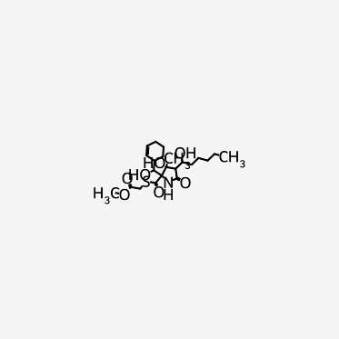 CCCCCC(O)C1C(=O)NC(C(=O)SCC(=O)OC)(C(O)C2C=CCCC2)C1(C)O